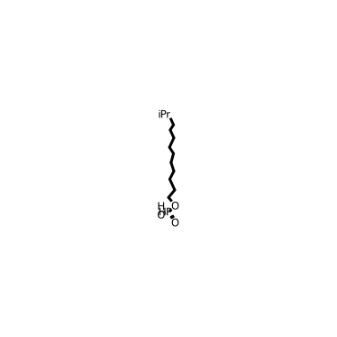 CC(C)CCCCCCCCCCO[PH](=O)O